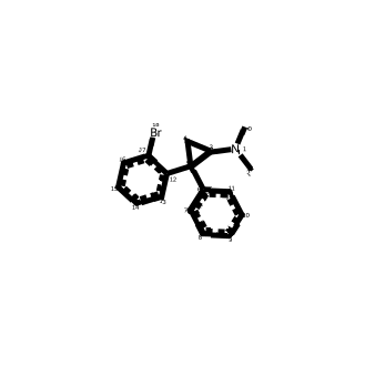 CN(C)C1CC1(c1ccccc1)c1ccccc1Br